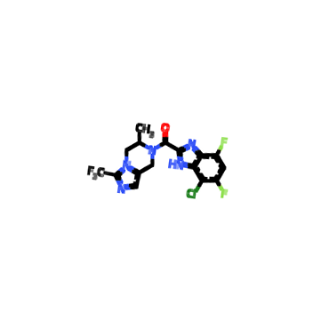 CC1Cn2c(cnc2C(F)(F)F)CN1C(=O)c1nc2c(F)cc(F)c(Cl)c2[nH]1